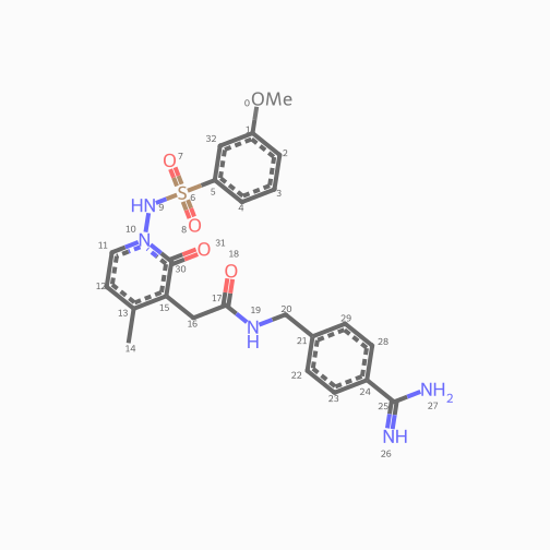 COc1cccc(S(=O)(=O)Nn2ccc(C)c(CC(=O)NCc3ccc(C(=N)N)cc3)c2=O)c1